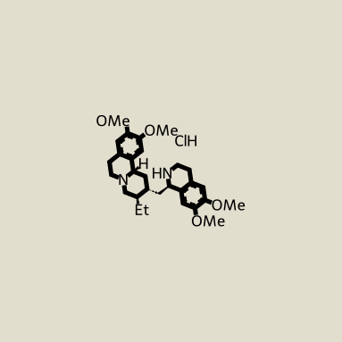 CC[C@H]1CN2CCc3cc(OC)c(OC)cc3[C@@H]2C[C@@H]1C[C@H]1NCCc2cc(OC)c(OC)cc21.Cl